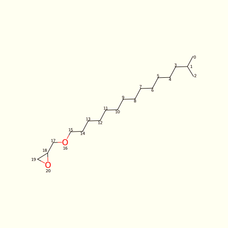 CC(C)CCCCCCCCCCCCCOCC1CO1